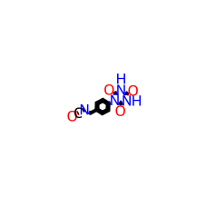 O=C=NCc1ccc(-n2c(=O)[nH]c(=O)[nH]c2=O)cc1